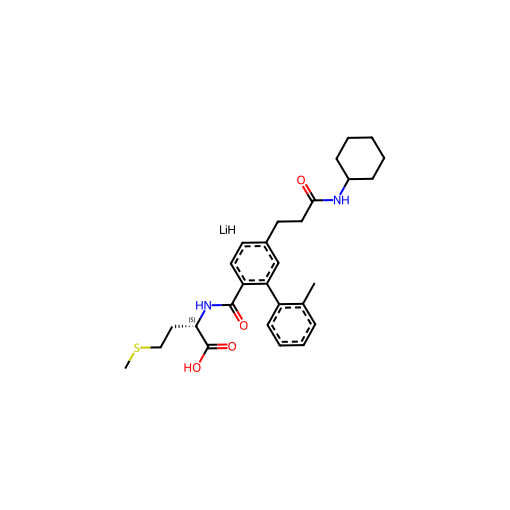 CSCC[C@H](NC(=O)c1ccc(CCC(=O)NC2CCCCC2)cc1-c1ccccc1C)C(=O)O.[LiH]